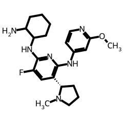 COc1cc(Nc2nc(NC3CCCCC3N)c(F)cc2[C@@H]2CCCN2C)ccn1